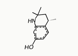 C[C@H]1CC(C)(C)Nc2cc(O)ccc21